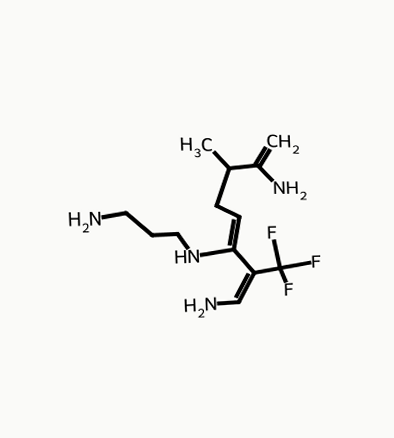 C=C(N)C(C)C/C=C(NCCCN)/C(=C\N)C(F)(F)F